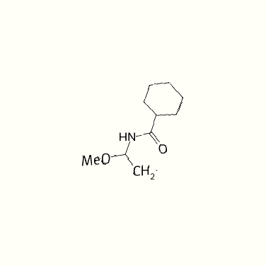 [CH2]C(NC(=O)C1CCCCC1)OC